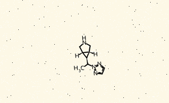 CC([C@H]1[C@@H]2CNC[C@@H]21)n1nccn1